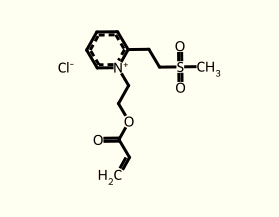 C=CC(=O)OCC[n+]1ccccc1CCS(C)(=O)=O.[Cl-]